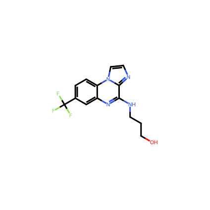 OCCCNc1nc2cc(C(F)(F)F)ccc2n2ccnc12